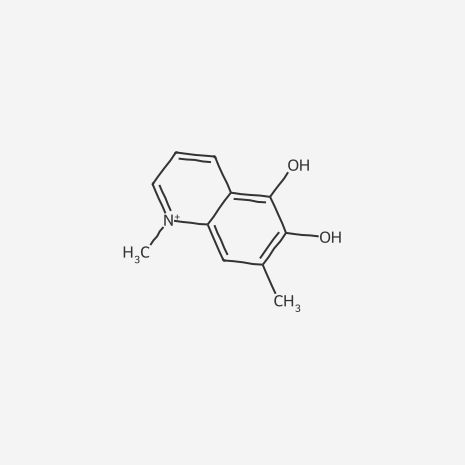 Cc1cc2c(ccc[n+]2C)c(O)c1O